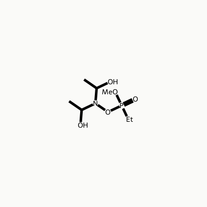 CCP(=O)(OC)ON(C(C)O)C(C)O